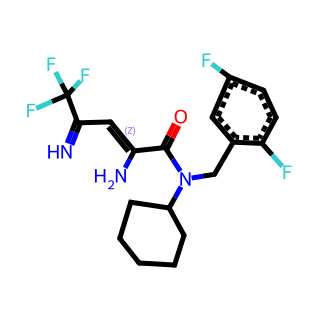 N=C(/C=C(\N)C(=O)N(Cc1cc(F)ccc1F)C1CCCCC1)C(F)(F)F